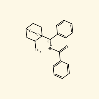 CN1CC2CCC1([C@@H](NC(=O)c1ccccc1)c1ccccc1)CC2